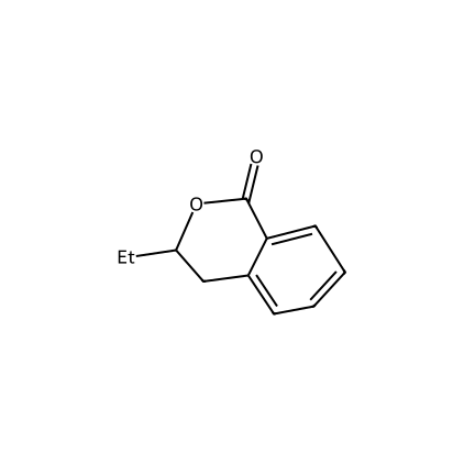 CCC1Cc2ccccc2C(=O)O1